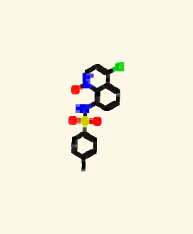 Cc1ccc(S(=O)(=O)Nc2cccc3c2[NH+]([O-])CC=C3Cl)cc1